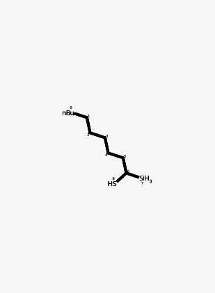 CCCCCCCCCC([SiH3])S